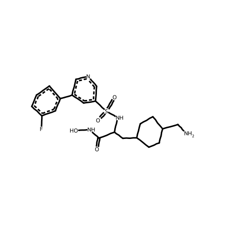 NCC1CCC(CC(NS(=O)(=O)c2cncc(-c3cccc(F)c3)c2)C(=O)NO)CC1